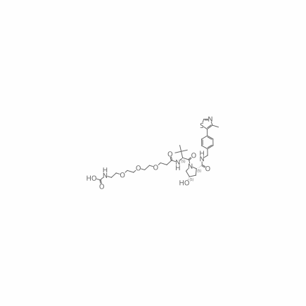 Cc1ncsc1-c1ccc(CNC(=O)[C@@H]2C[C@H](O)CN2C(=O)[C@@H](NC(=O)CCOCCOCCOCCNC(=O)O)C(C)(C)C)cc1